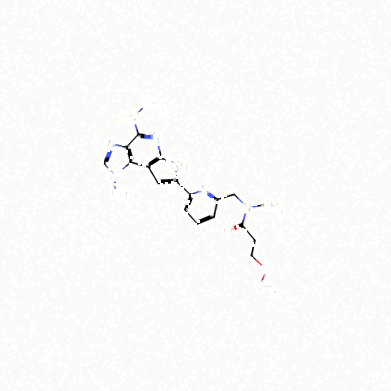 CNc1nc2[nH]c(-c3cccc(CN(C)C(=O)CCOC)n3)cc2c2c1ncn2C